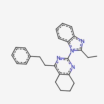 CCc1nc2ccccc2n1-c1nc2c(c(CCc3ccccc3)n1)CCCC2